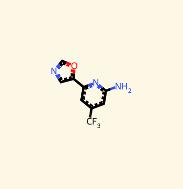 Nc1cc(C(F)(F)F)cc(-c2cnco2)n1